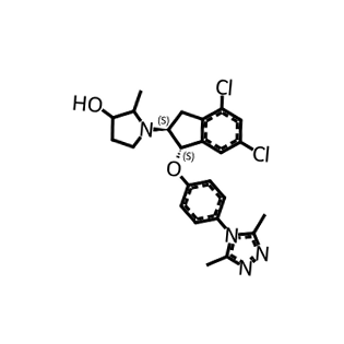 Cc1nnc(C)n1-c1ccc(O[C@H]2c3cc(Cl)cc(Cl)c3C[C@@H]2N2CCC(O)C2C)cc1